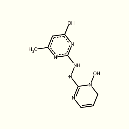 Cc1cc(O)nc(N[N]C2=NC=CCN2O)n1